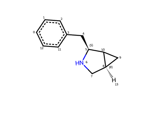 c1ccc(C[C@@H]2NC[C@@H]3CC32)cc1